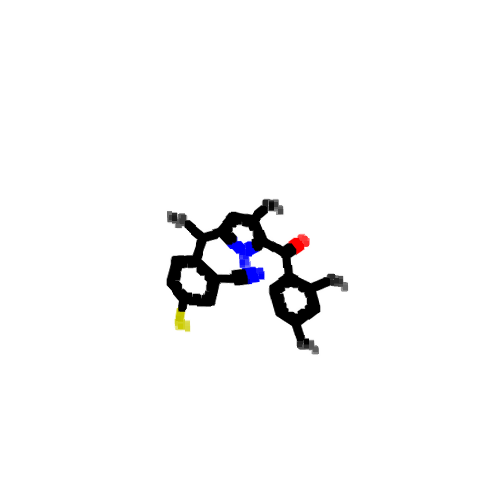 Cc1ccc(C(=O)c2[nH]c(C(C)c3ccc(S)cc3C#N)cc2C)c(C)c1